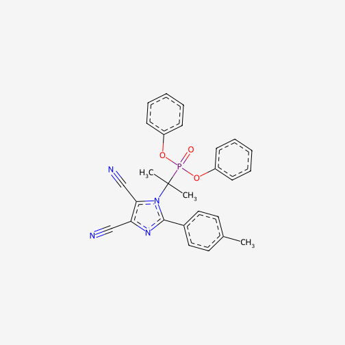 Cc1ccc(-c2nc(C#N)c(C#N)n2C(C)(C)P(=O)(Oc2ccccc2)Oc2ccccc2)cc1